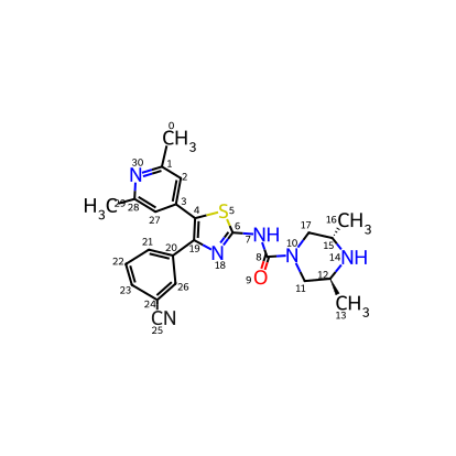 Cc1cc(-c2sc(NC(=O)N3C[C@H](C)N[C@@H](C)C3)nc2-c2cccc(C#N)c2)cc(C)n1